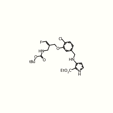 CCOC(=O)c1[nH]ccc1NCc1ccc(Cl)c(OC/C(=C/F)CNC(=O)OC(C)(C)C)c1